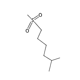 CC(C)CCCCS(C)(=O)=O